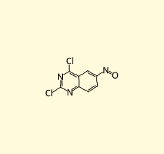 O=Nc1ccc2nc(Cl)nc(Cl)c2c1